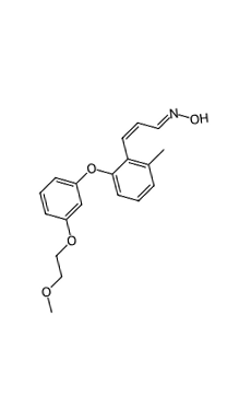 COCCOc1cccc(Oc2cccc(C)c2/C=C\C=N\O)c1